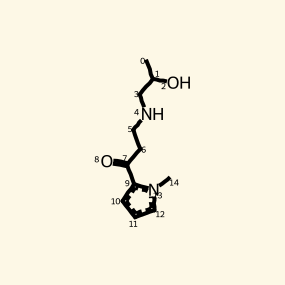 CC(O)CNCCC(=O)c1cccn1C